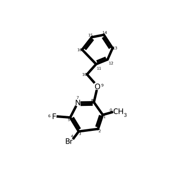 Cc1cc(Br)c(F)nc1OCc1ccccc1